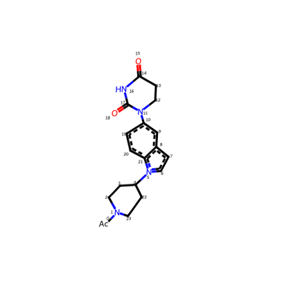 CC(=O)N1CCC(n2ccc3cc(N4CCC(=O)NC4=O)ccc32)CC1